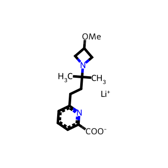 COC1CN(C(C)(C)CCc2cccc(C(=O)[O-])n2)C1.[Li+]